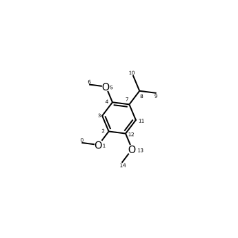 COc1cc(OC)c(C(C)C)cc1OC